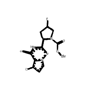 CC(C)(C)OC(=O)N1CC(F)CC1c1nn2ccc(Cl)c2c(=O)[nH]1